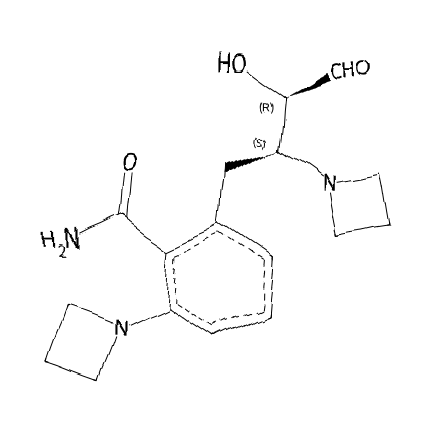 NC(=O)c1c(C[C@@H]([C@@H](O)C=O)N2CCC2)cccc1N1CCC1